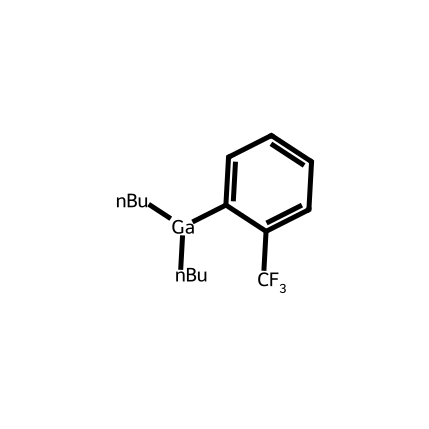 CCC[CH2][Ga]([CH2]CCC)[c]1ccccc1C(F)(F)F